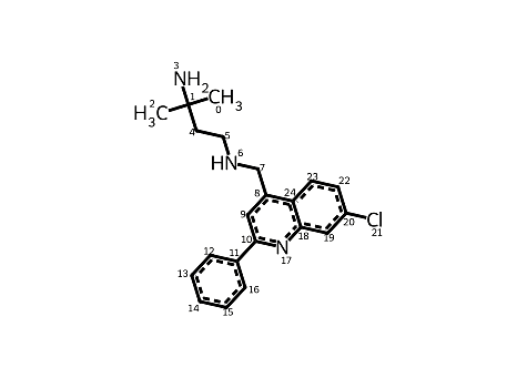 CC(C)(N)CCNCc1cc(-c2ccccc2)nc2cc(Cl)ccc12